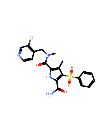 Cc1c(C(=O)N(C)Cc2ccncc2Cl)[nH]c(C(N)=O)c1S(=O)(=O)c1ccccc1